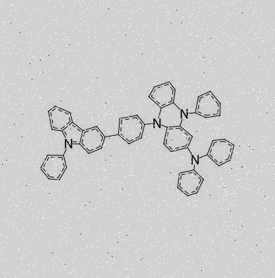 c1ccc(N(c2ccccc2)c2ccc3c(c2)N(c2ccccc2)c2ccccc2N3c2ccc(-c3ccc4c(c3)c3ccccc3n4-c3ccccc3)cc2)cc1